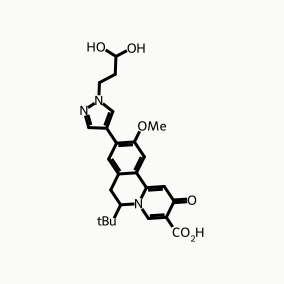 COc1cc2c(cc1-c1cnn(CCC(O)O)c1)CC(C(C)(C)C)n1cc(C(=O)O)c(=O)cc1-2